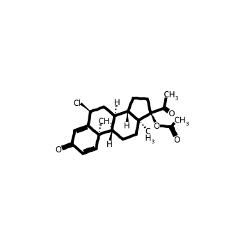 CC(=O)O[C@]1(C(C)=O)CC[C@H]2[C@@H]3C[C@H](Cl)C4=CC(=O)C=C[C@]4(C)[C@H]3CC[C@@]21C